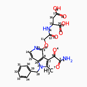 Cc1c(C(=O)C(N)=O)c2c(OCC(=O)NC(CC(=O)O)C(=O)O)nccc2n1Cc1ccccc1